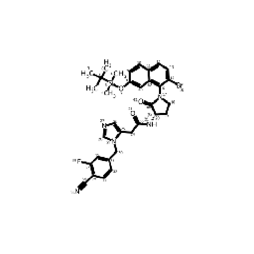 CC(C)(C)[Si](C)(C)Oc1ccc2ccc(Br)c(N3CC[C@H](NC(=O)Cc4cncn4Cc4ccc(C#N)c(F)c4)C3=O)c2c1